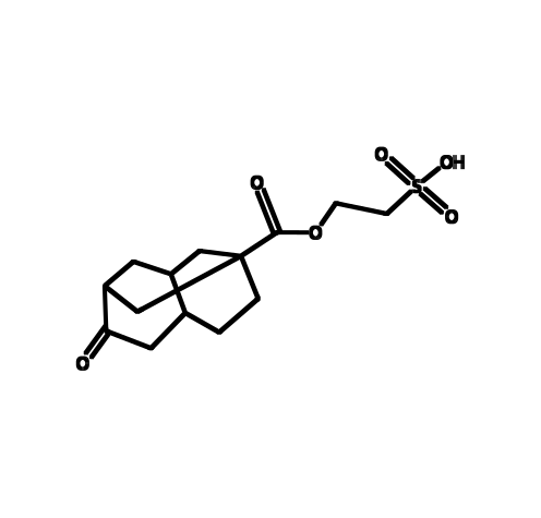 O=C1CC2CCC3(C(=O)OCCS(=O)(=O)O)CC1CC2C3